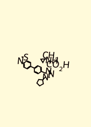 CC1(NC(=O)O)CC1.c1nc2ccc(-c3ccc(-c4nncn4C4CCCC4)cc3)cc2s1